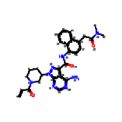 C=CC(=O)N1CCCC(n2nc(C(=O)Nc3ccc(CC(=O)N(C)C)c4ccccc34)c3c(N)ncnc32)C1